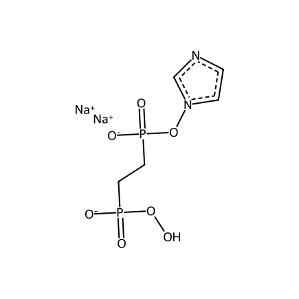 O=P([O-])(CCP(=O)([O-])On1ccnc1)OO.[Na+].[Na+]